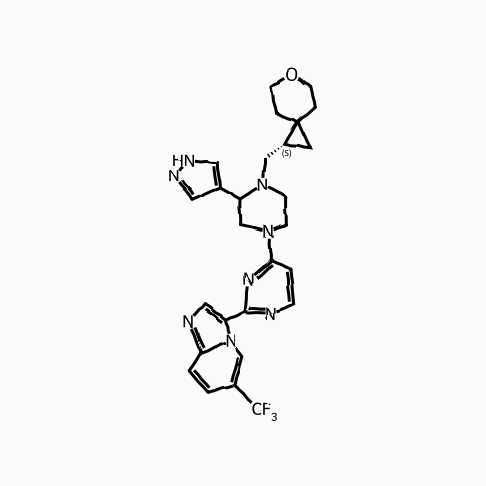 FC(F)(F)c1ccc2ncc(-c3nccc(N4CCN(C[C@H]5CC56CCOCC6)C(c5cn[nH]c5)C4)n3)n2c1